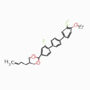 C=CCCC1COC(c2ccc(-c3ccc(-c4ccc(OCC)c(F)c4)cc3)c(F)c2)OC1